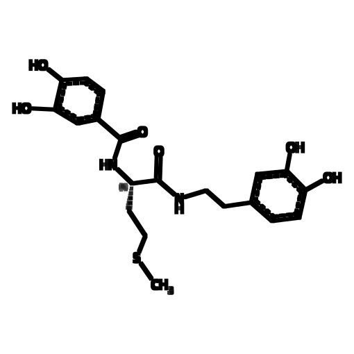 CSCC[C@H](NC(=O)c1ccc(O)c(O)c1)C(=O)NCCc1ccc(O)c(O)c1